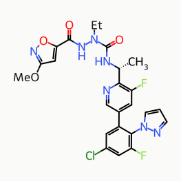 CCN(NC(=O)c1cc(OC)no1)C(=O)N[C@H](C)c1ncc(-c2cc(Cl)cc(F)c2-n2cccn2)cc1F